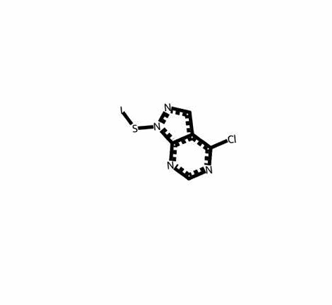 Clc1ncnc2c1cnn2SI